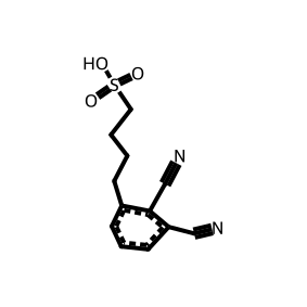 N#Cc1cccc(CCCCS(=O)(=O)O)c1C#N